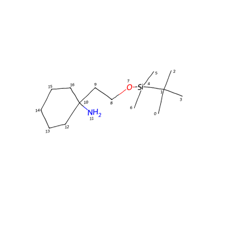 CC(C)(C)[Si](C)(C)OCCC1(N)CCCCC1